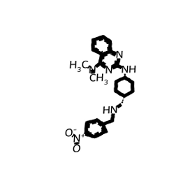 CN(C)c1nc(N[C@H]2CC[C@@H](CNCc3ccc([N+](=O)[O-])cc3)CC2)nc2ccccc12